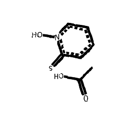 CC(=O)O.On1ccccc1=S